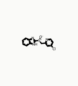 [O-][S+](Cc1cc(Cl)ccn1)c1nc2ccccc2[nH]1